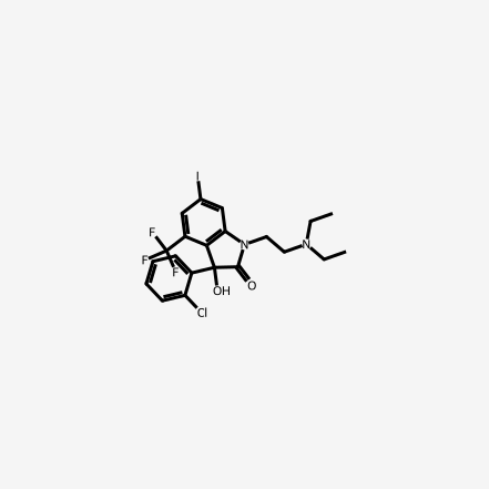 CCN(CC)CCN1C(=O)C(O)(c2ccccc2Cl)c2c1cc(I)cc2C(F)(F)F